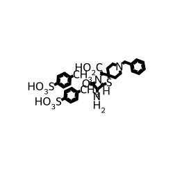 Cc1ccc(S(=O)(=O)O)cc1.Cc1ccc(S(=O)(=O)O)cc1.NC1C(=O)N2C(C(=O)O)C3(CCN(Cc4ccccc4)CC3)S[C@@H]12